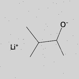 CC(C)C(C)[O-].[Li+]